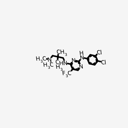 CN(C)CC(C)(C)CNc1nc(Nc2ccc(Cl)c(Cl)c2)ncc1C(F)(F)F